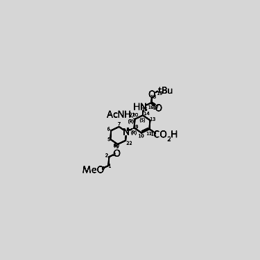 COCCO[C@@H]1CCCN([C@@H]2C=C(C(=O)O)C[C@H](NC(=O)OC(C)(C)C)[C@H]2NC(C)=O)C1